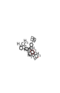 CC1(C)CCC(C)(C)c2c(-c3cc4c(cc3N(c3ccc(C56CC7CC8CC(C5)C86C7)cc3)c3ccc(C56CC7CC8CC(C5)C86C7)cc3)C(C)(C)c3ccccc3-4)cccc21